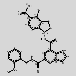 COc1ccccc1CNC(=O)c1cc(C(=O)N[C@H]2CCc3c2ccc(C(=O)O)c3C)n2nccc2n1